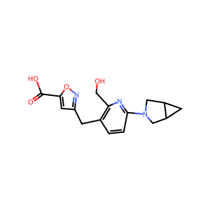 O=C(O)c1cc(Cc2ccc(N3CC4CC4C3)nc2CO)no1